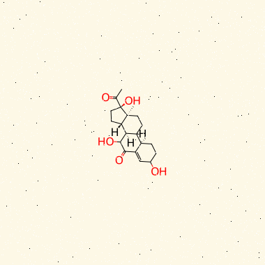 CC(=O)[C@@]1(O)CC[C@H]2[C@@H]3C(O)C(=O)C4=CC(O)CC[C@]4(C)[C@H]3CC[C@@]21C